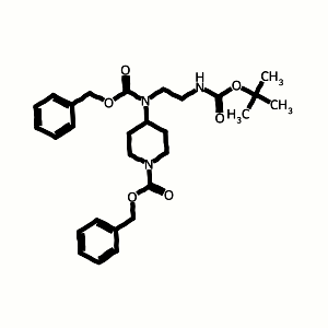 CC(C)(C)OC(=O)NCCN(C(=O)OCc1ccccc1)C1CCN(C(=O)OCc2ccccc2)CC1